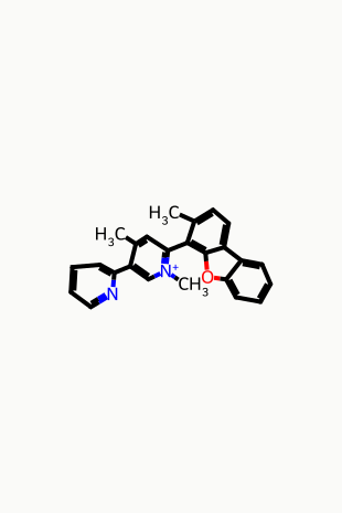 Cc1cc(-c2c(C)ccc3c2oc2ccccc23)[n+](C)cc1-c1ccccn1